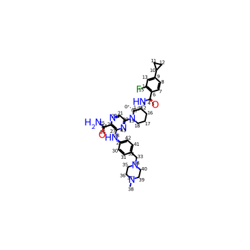 C[C@@H]1[C@H](NC(=O)c2ccc(C3CC3)cc2F)CCCN1c1cnc(C(N)=O)c(Nc2ccc(CN3CCN(C)CC3)cc2)n1